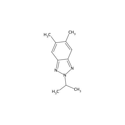 Cc1cc2nn(C(C)C)nc2cc1C